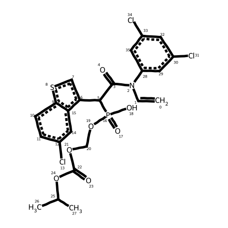 C=CN(C(=O)C(c1csc2ccc(Cl)cc12)P(=O)(O)OCOC(=O)OC(C)C)c1cc(Cl)cc(Cl)c1